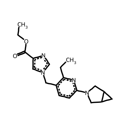 CCOC(=O)c1cn(Cc2ccc(N3CC4CC4C3)nc2CC)cn1